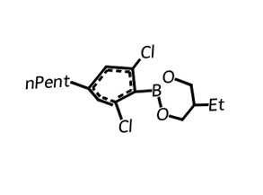 CCCCCc1cc(Cl)c(B2OCC(CC)CO2)c(Cl)c1